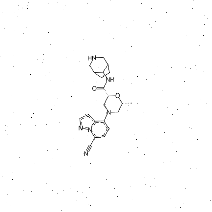 C[C@@H]1CN(c2ccc(C#N)n3nccc23)C[C@H](C(=O)NC2C3CCC2CNC3)O1